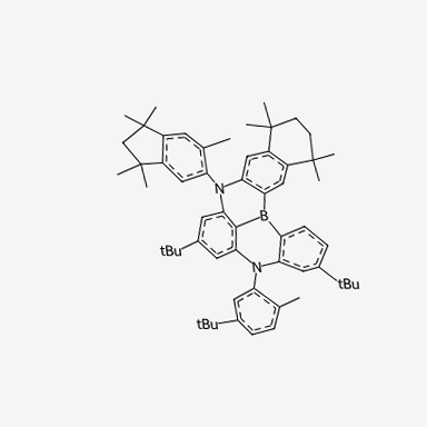 Cc1ccc(C(C)(C)C)cc1N1c2cc(C(C)(C)C)ccc2B2c3cc4c(cc3N(c3cc5c(cc3C)C(C)(C)CC5(C)C)c3cc(C(C)(C)C)cc1c32)C(C)(C)CCC4(C)C